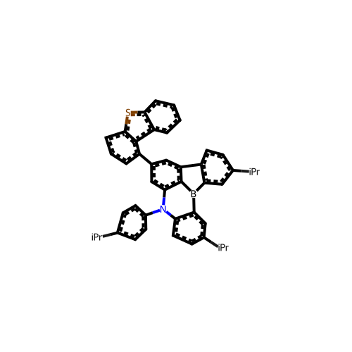 CC(C)c1ccc(N2c3ccc(C(C)C)cc3B3c4cc(C(C)C)ccc4-c4cc(-c5cccc6sc7ccccc7c56)cc2c43)cc1